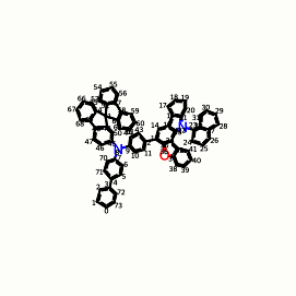 c1ccc(-c2ccc(N(c3ccc(-c4cc5c6ccccc6n(-c6cccc7ccccc67)c5c5c4oc4ccccc45)cc3)c3ccc4c(c3)C3(c5ccccc5-c5ccccc53)c3ccccc3-4)cc2)cc1